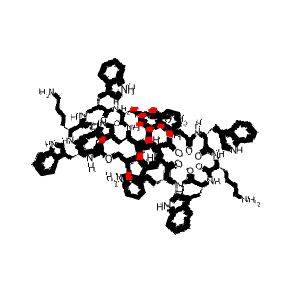 NCCCC[C@@H](NC(=O)[C@@H](Cc1c[nH]c2ccccc12)NC(=O)[C@@H](CCCCN)NC(=O)[C@@H](Cc1c[nH]c2ccccc12)NC(=O)CNC(=O)[C@H](CC(N)=O)NC(=O)[C@@H](Cc1c[nH]c2ccccc12)NC(=O)[C@@H](CCCCN)NC(=O)[C@@H](Cc1c[nH]c2ccccc12)NC(=O)[C@@H](CCCCN)NC(=O)[C@@H](Cc1c[nH]c2ccccc12)NC(=O)OCC1c2ccccc2-c2ccccc21)C(=O)N[C@H](Cc1c[nH]c2ccccc12)C(=O)O